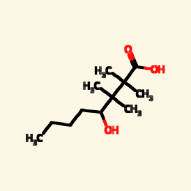 CCCCC(O)C(C)(C)C(C)(C)C(=O)O